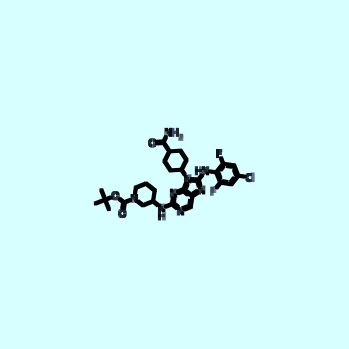 CC(C)(C)OC(=O)N1CCCC(Nc2ncc3nc(Nc4c(F)cc(Cl)cc4F)n(C4CCC(C(N)=O)CC4)c3n2)C1